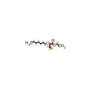 CCCCCCCOC(C(=O)OCC)C(F)(F)F